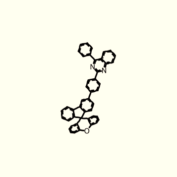 c1ccc(-c2nc(-c3ccc(-c4ccc5c(c4)-c4ccccc4C54c5ccccc5Oc5ccccc54)cc3)nc3ccccc23)cc1